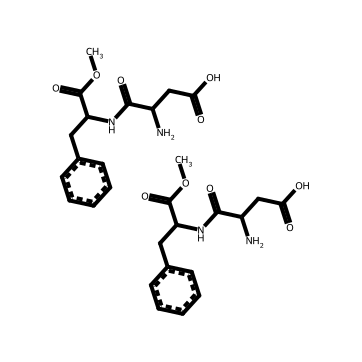 COC(=O)C(Cc1ccccc1)NC(=O)C(N)CC(=O)O.COC(=O)C(Cc1ccccc1)NC(=O)C(N)CC(=O)O